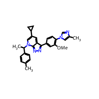 COc1cc(-c2nnc3n(C(C)c4ccc(C)cc4)cc(C4CC4)cc2-3)ccc1-n1cnc(C)c1